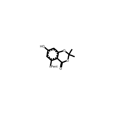 CCCCCc1cc(O)cc2c1C(=O)OC(C)(C)O2